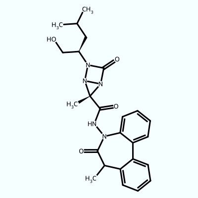 CC(C)C[C@H](CO)n1c(=O)n2n1[C@@]2(C)C(=O)NN1C(=O)C(C)c2ccccc2-c2ccccc21